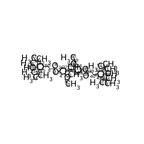 CCOc1cc(OC(=O)CCc2cc(C(C)(C)C)c(O)c(C(C)(C)C)c2)ccc1C(C)(C)c1ccc(OC(=O)CCc2cc(C(C)(C)C)c(O)c(C(C)(C)C)c2)cc1OCC